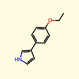 CCOc1ccc(-c2c[c][nH]c2)cc1